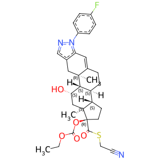 CCOC(=O)O[C@]1(C(=O)SCC#N)CC[C@H]2[C@@H]3CCC4=Cc5c(cnn5-c5ccc(F)cc5)C[C@]4(C)[C@H]3[C@@H](O)C[C@@]21C